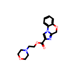 O=C(OCCN1CCOCC1)c1cn2c(n1)COc1ccccc1-2